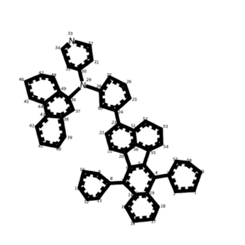 c1ccc(-c2c3c(c(-c4ccccc4)c4ccccc24)-c2ccc(-c4cccc(N(c5ccncc5)c5cc6ccccc6c6ccccc56)c4)c4cccc-3c24)cc1